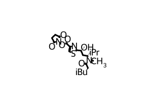 CC[C@H](C)CC(=O)N(C)[C@H](C[C@@H](O)c1nc(C(=O)ON2C(=O)CCC2=O)cs1)C(C)C